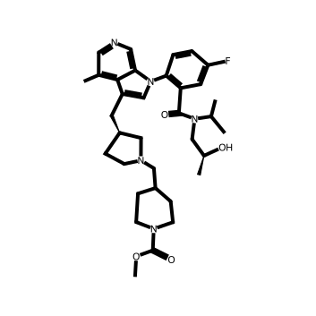 COC(=O)N1CCC(CN2CC[C@@H](Cc3cn(-c4ccc(F)cc4C(=O)N(C[C@H](C)O)C(C)C)c4cncc(C)c34)C2)CC1